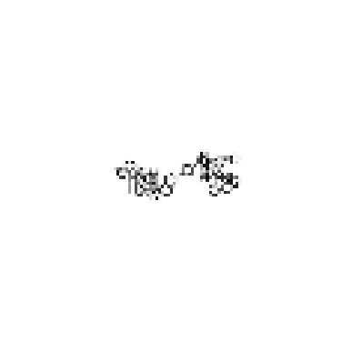 CCOC(=O)N[C@H](C(=O)N1CCC[C@H]1c1nc2ccc3cc(-c4ccc(-c5cnc([C@@H]6C[C@H](COC)CN6C(=O)[C@H](NC(=O)OC)c6ccccc6)[nH]5)cc4)ccc3c2[nH]1)C(C)C